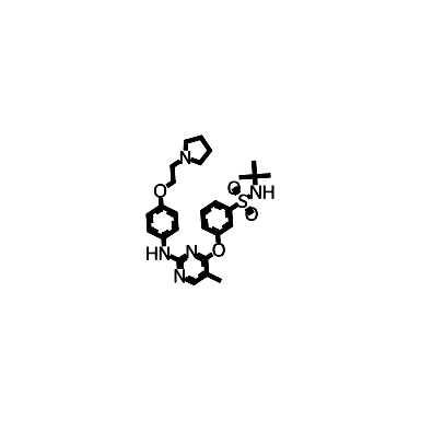 Cc1cnc(Nc2ccc(OCCN3CCCC3)cc2)nc1Oc1cccc(S(=O)(=O)NC(C)(C)C)c1